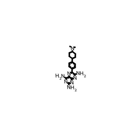 CN(C)C1CCC(c2ccc(-c3nc4c(N)nc(N)nc4nc3N)cc2)CC1